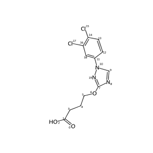 O=C(O)CCCOc1ncn(-c2ccc(Cl)c(Cl)c2)n1